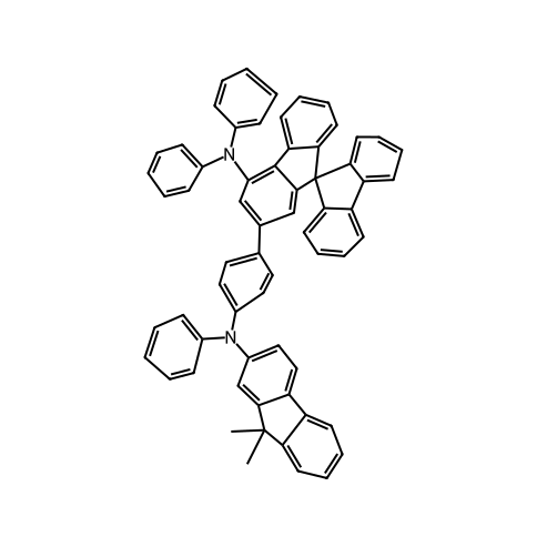 CC1(C)c2ccccc2-c2ccc(N(c3ccccc3)c3ccc(-c4cc(N(c5ccccc5)c5ccccc5)c5c(c4)C4(c6ccccc6-c6ccccc64)c4ccccc4-5)cc3)cc21